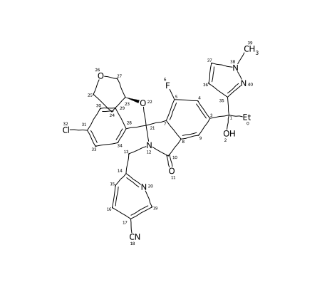 CCC(O)(c1cc(F)c2c(c1)C(=O)N(Cc1ccc(C#N)cn1)C2(O[C@H]1CCOC1)c1ccc(Cl)cc1)c1ccn(C)n1